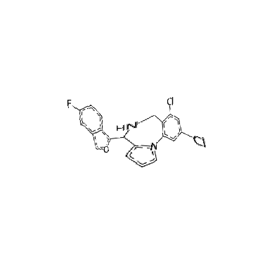 Fc1ccc2c(C3NCc4c(Cl)cc(Cl)cc4-n4cccc43)occ2c1